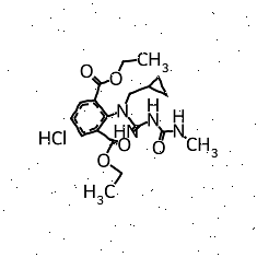 CCOC(=O)c1cccc(C(=O)OCC)c1N(CC1CC1)C(=N)NC(=O)NC.Cl